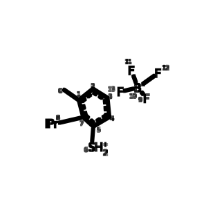 Cc1cccc([SH2+])c1C(C)C.F[B-](F)(F)F